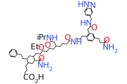 CCOC(CCCC(CCCC(=O)NCCCc1ccc(CCC(N)=O)cc1CC(=O)NCc1ccc2[nH]cnc2c1)CC(=O)NC(C)C)CCC1CC(CCc2ccccc2)C(CCCC(=O)O)CC1C(N)=O